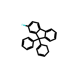 Fc1ccc2c(c1)C(C1=CC=CCC1)(c1ccccc1)c1ccccc1-2